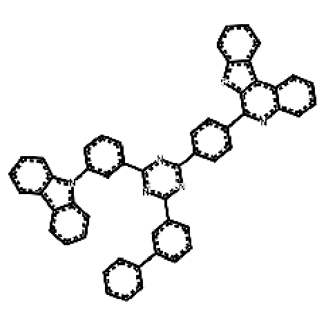 c1ccc(-c2cccc(-c3nc(-c4ccc(-c5nc6ccccc6c6c5sc5ccccc56)cc4)nc(-c4cccc(-n5c6ccccc6c6ccccc65)c4)n3)c2)cc1